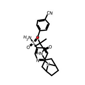 CC(C)(Oc1ccc(C#N)cc1)C(=O)NC1CC2CCC(C1)N2c1ccc(S(N)(=O)=O)cn1